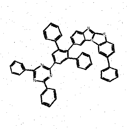 c1ccc(-c2ccc3sc4nc5ccc(-c6c(-c7ccccc7)cc(-c7nc(-c8ccccc8)nc(-c8ccccc8)n7)cc6-c6ccccc6)cc5n4c3c2)cc1